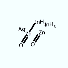 [Ag].[InH3].[O]=[Zn].[O]=[Zn][InH2]